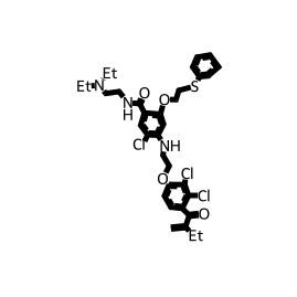 C=C(CC)C(=O)c1ccc(OCCNc2cc(OCCSc3ccccc3)c(C(=O)NCCN(CC)CC)cc2Cl)c(Cl)c1Cl